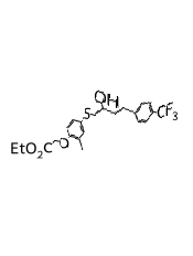 CCOC(=O)COc1ccc(SCC(O)CCc2ccc(C(F)(F)F)cc2)cc1C